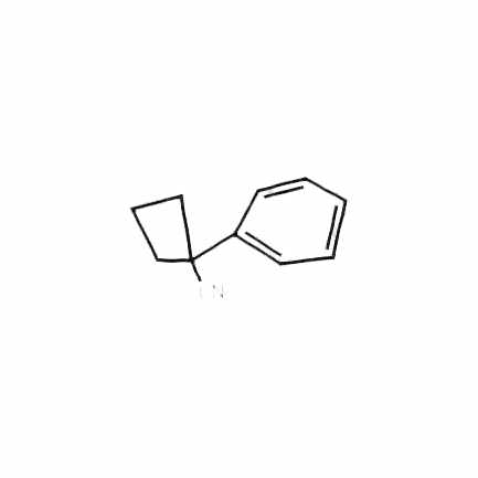 N#CC1(c2c[c]ccc2)CCC1